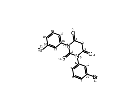 O=C1CC(=O)N(c2cccc(Br)c2)C(=S)N1c1cccc(Br)c1